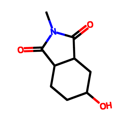 CN1C(=O)C2CCC(O)CC2C1=O